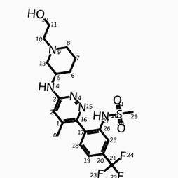 Cc1cc(N[C@@H]2CCCN(CCO)C2)nnc1-c1ccc(C(F)(F)F)cc1NS(C)(=O)=O